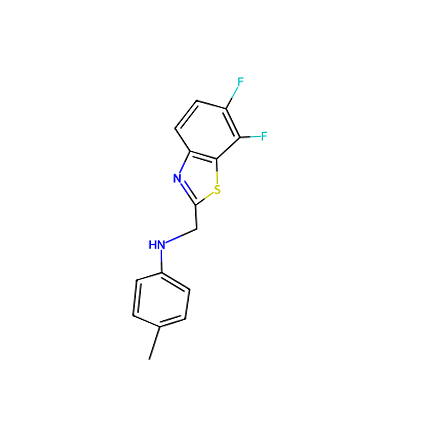 Cc1ccc(NCc2nc3ccc(F)c(F)c3s2)cc1